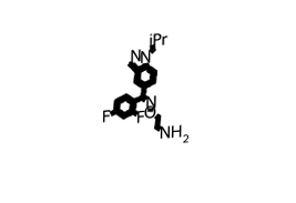 CC(C)Cn1ncc2cc(C(=NOCCN)c3ccc(F)cc3F)ccc21